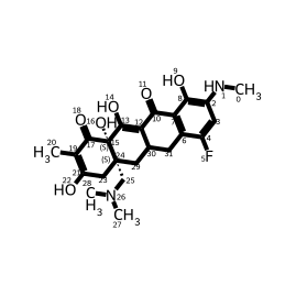 CNc1cc(F)c2c(c1O)C(=O)C1=C(O)[C@]3(O)C(=O)C(C)=C(O)C[C@]3(CN(C)C)CC1C2